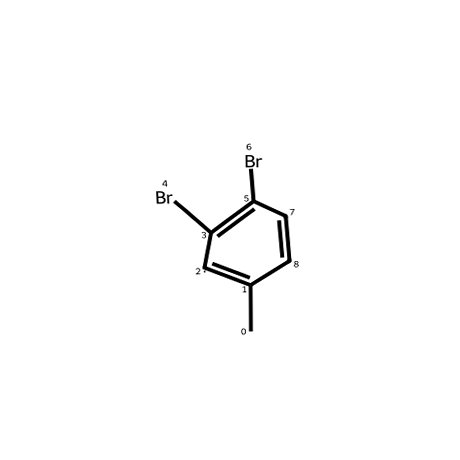 Cc1[c]c(Br)c(Br)cc1